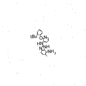 Cc1ccc2nc(Nc3cccnc3Oc3ccccc3C(C)(C)C)[nH]c2c1N